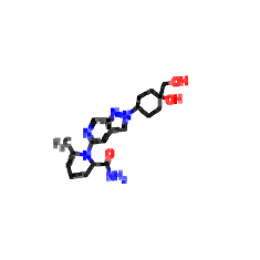 NC(=O)C1C=CC=C(C(F)(F)F)N1c1cc2cn(C3CCC(O)(CO)CC3)nc2cn1